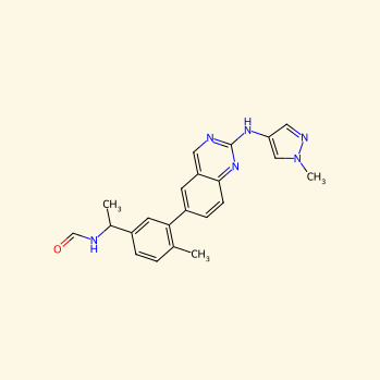 Cc1ccc(C(C)NC=O)cc1-c1ccc2nc(Nc3cnn(C)c3)ncc2c1